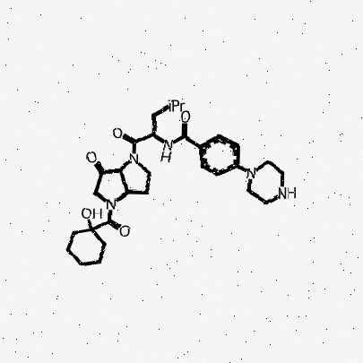 CC(C)CC(NC(=O)c1ccc(N2CCNCC2)cc1)C(=O)N1CCC2C1C(=O)CN2C(=O)C1(O)CCCCC1